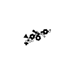 C#CC(=O)N(c1ccc(N(C(=O)OC(C)(C)C)C2CC2)c(Cl)c1)C1(C(=O)NCc2ccc(OC)cc2OC)CCCCC1